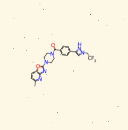 Cc1ccc2oc(N3CCN(C(=O)c4ccc(-c5cn(CC(F)(F)F)[nH]5)cc4)CC3)nc2n1